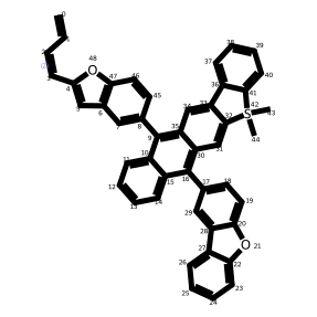 C=C/C=C\c1cc2cc(-c3c4ccccc4c(-c4ccc5oc6ccccc6c5c4)c4cc5c(cc34)-c3ccccc3S5(C)C)ccc2o1